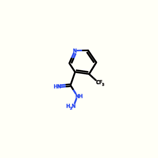 N=C(NN)c1cnccc1C(F)(F)F